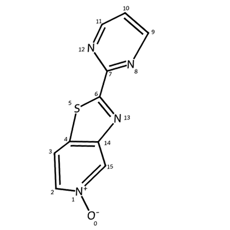 [O-][n+]1ccc2sc(-c3ncccn3)nc2c1